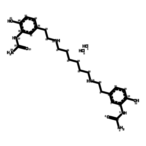 Cl.Cl.NC(=O)Nc1cc(CCNCCCCCCNCCc2ccc(O)c(NC(N)=O)c2)ccc1O